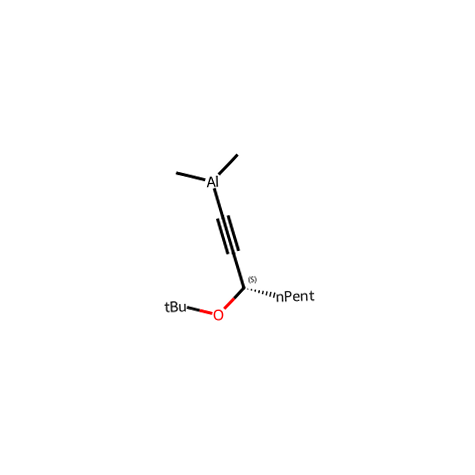 CCCCC[C@@H](C#[C][Al]([CH3])[CH3])OC(C)(C)C